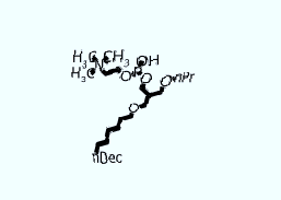 CCCCCCCCCCCCCCCCOCC(COCCC)COP(O)OCC[N+](C)(C)C